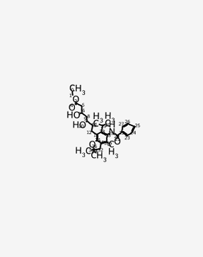 CCOC(=O)CC(O)CC(O)CCc1c2c(c(C)c(NC(=O)c3ccccc3)c1C(C)C)CC(C)(C)O2